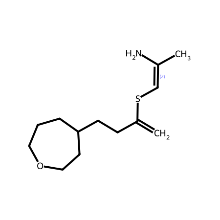 C=C(CCC1CCCOCC1)S/C=C(/C)N